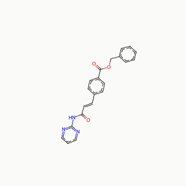 O=C(C=Cc1ccc(C(=O)OCc2ccccc2)cc1)Nc1ncccn1